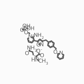 CN[C@H](CCC(N)=O)C(=O)[O-].Nc1c(-c2cc(Cc3ccc(COc4ccccn4)cc3)no2)ccc[n+]1COP(=O)(O)O